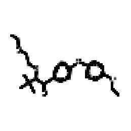 CCOCCSC(C(=O)c1ccc(Oc2ccc(OCC)cc2)cc1)C(C)(C)C